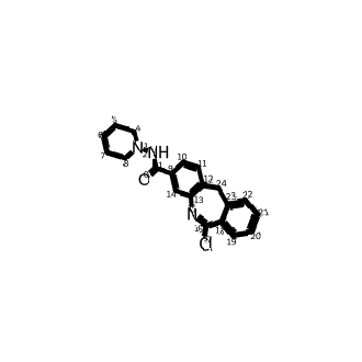 O=C(NN1CCCCC1)c1ccc2c(c1)N=C(Cl)c1ccccc1C2